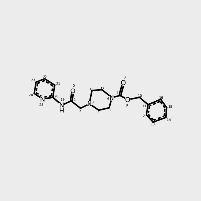 O=C(CN1CCN(C(=O)OCc2ccccc2)CC1)Nc1ccccn1